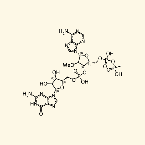 COC1[C@@H](OP(=O)(O)OC[C@H]2O[C@@H](n3cnc4c(=O)[nH]c(N)nc43)C(O)[C@H]2O)[C@@H](COP(=O)(O)OP(C)(=O)O)O[C@H]1n1cnc2c(N)ncnc21